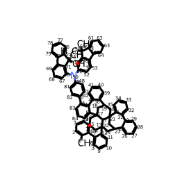 Cc1ccccc1-c1ccccc1C12CCCC34CC(CC5(CC(C1)c1ccccc1-c1ccccc15)C23)c1ccccc1-c1c(-c2ccc(N(c3ccc5c(c3)C(C)(C)c3ccccc3-5)c3cccc5c3C(C)(C)c3ccccc3-5)cc2)cccc14